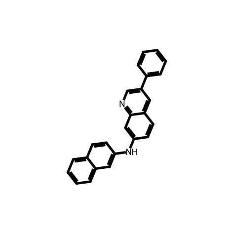 c1ccc(-c2cnc3cc(Nc4ccc5ccccc5c4)ccc3c2)cc1